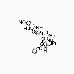 CC[C@H](C)C(NC(=O)[C@H](CC(C)C)NC(=O)OCc1ccccc1)C(=O)C(=O)NCC(=O)N[C@@H](Cc1ccc(C#N)cc1)C(N)=O